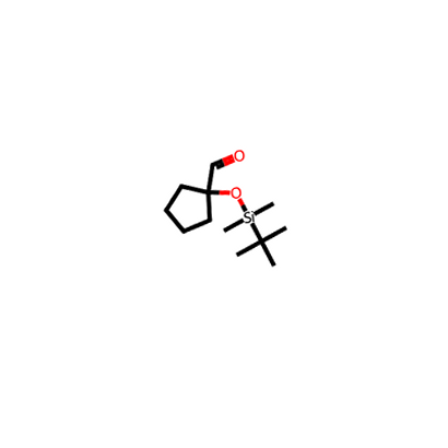 CC(C)(C)[Si](C)(C)OC1(C=O)CCCC1